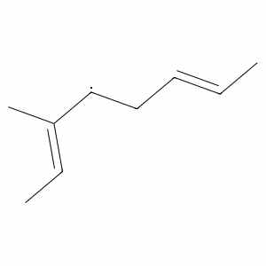 CC=CC[CH]C(C)=CC